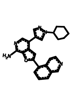 Nc1ncc(-c2cnn(C3CCCCC3)c2)c2cc(-c3cccc4cnccc34)oc12